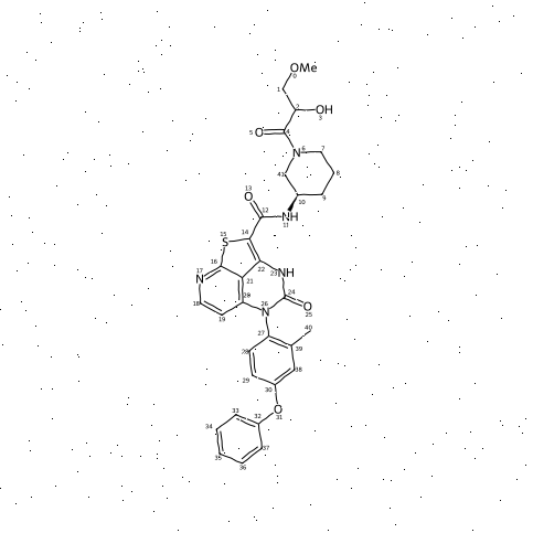 COCC(O)C(=O)N1CCC[C@@H](NC(=O)c2sc3nccc4c3c2NC(=O)N4c2ccc(Oc3ccccc3)cc2C)C1